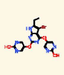 CCc1[nH]c2nc(Oc3cnc(O)nc3)nc(Oc3cnc(O)nc3)c2c1Br